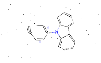 C#C/C=C\C(=C/C)n1c2ccccc2c2ccccc21